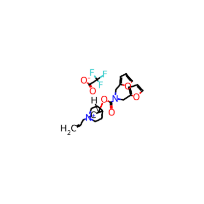 C=CC[N+]12CCC(CC1)[C@@H](OC(=O)N(Cc1ccco1)Cc1ccco1)C2.O=C([O-])C(F)(F)F